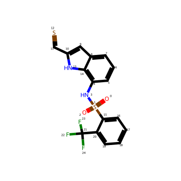 O=S(=O)(Nc1cccc2cc(C=S)[nH]c12)c1ccccc1C(F)(F)F